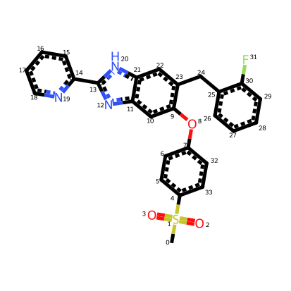 CS(=O)(=O)c1ccc(Oc2cc3nc(-c4ccccn4)[nH]c3cc2Cc2ccccc2F)cc1